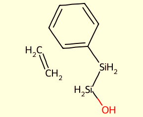 C=C.O[SiH2][SiH2]c1ccccc1